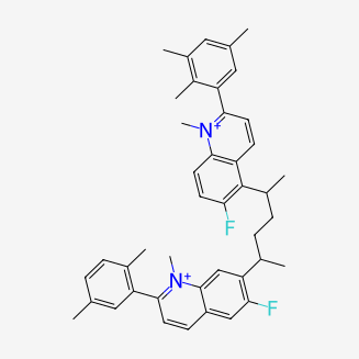 Cc1ccc(C)c(-c2ccc3cc(F)c(C(C)CCC(C)c4c(F)ccc5c4ccc(-c4cc(C)cc(C)c4C)[n+]5C)cc3[n+]2C)c1